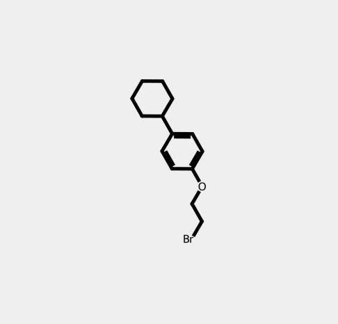 BrCCOc1ccc(C2CCCCC2)cc1